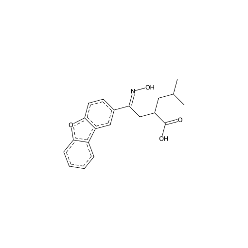 CC(C)CC(CC(=NO)c1ccc2oc3ccccc3c2c1)C(=O)O